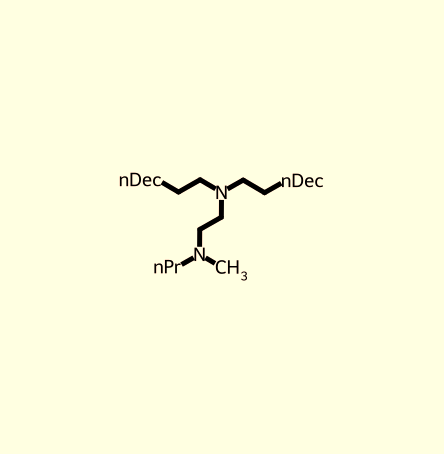 CCCCCCCCCCCCN(CCCCCCCCCCCC)CCN(C)CCC